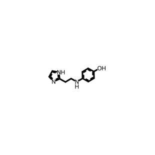 Oc1ccc(NCCc2ncc[nH]2)cc1